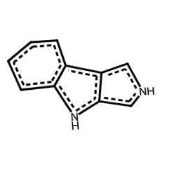 c1ccc2c(c1)[nH]c1c[nH]cc12